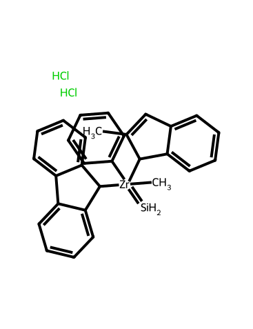 CC1=Cc2ccccc2[CH]1[Zr]([CH3])(=[SiH2])([c]1ccccc1)[CH]1c2ccccc2-c2ccccc21.Cl.Cl